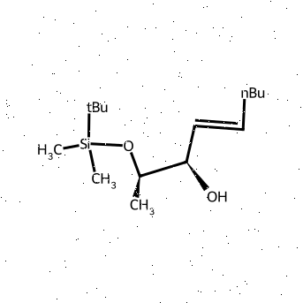 CCCCC=C[C@@H](O)[C@@H](C)O[Si](C)(C)C(C)(C)C